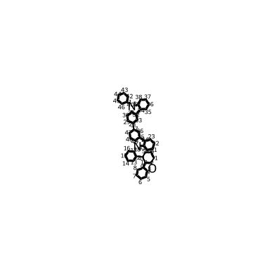 C1=Cc2oc3ccccc3c2C(c2ccccc2-n2c3ccccc3c3cc(-c4ccc5c(c4)c4ccccc4n5-c4ccccc4)ccc32)C1